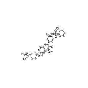 CC(C)n1c(=O)c(-c2ccc(NS(=O)(=O)c3ccccc3Cl)c(F)c2)nc2cnc(N[C@H]3CC[C@H](N(C)C)CC3)nc21